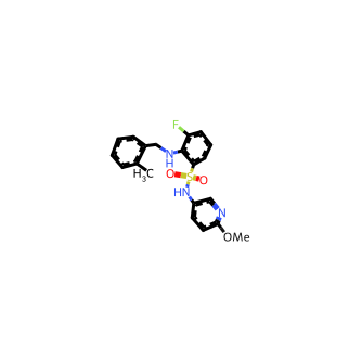 COc1ccc(NS(=O)(=O)c2cccc(F)c2NCc2ccccc2C)cn1